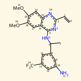 C=Cc1nc(NC(C)c2cc(N)cc(C(F)(F)F)c2)c2cc(OC)c(OC)cc2n1